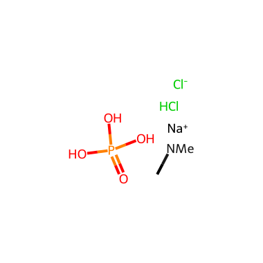 CNC.Cl.O=P(O)(O)O.[Cl-].[Na+]